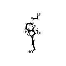 OCC#CC1C[C@]2(CO)O[C@@H](CCO)CC[C@@H]2O1